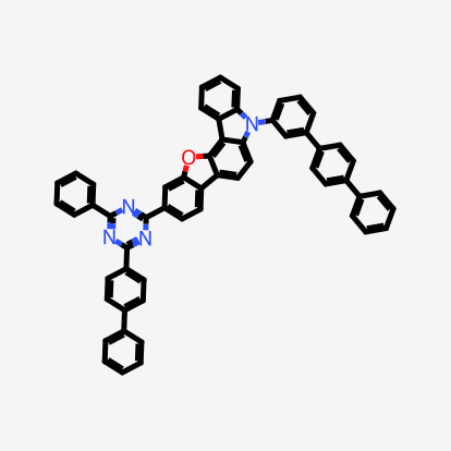 c1ccc(-c2ccc(-c3cccc(-n4c5ccccc5c5c6oc7cc(-c8nc(-c9ccccc9)nc(-c9ccc(-c%10ccccc%10)cc9)n8)ccc7c6ccc54)c3)cc2)cc1